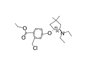 CCOC(=O)c1ccc(O[C@@H]2CC(C)(C)C[C@H]2N(CC)CC)cc1CCl